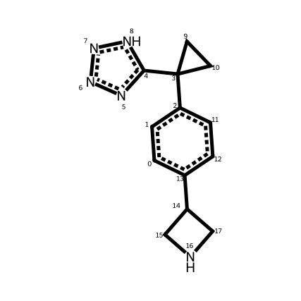 c1cc(C2(c3nnn[nH]3)CC2)ccc1C1CNC1